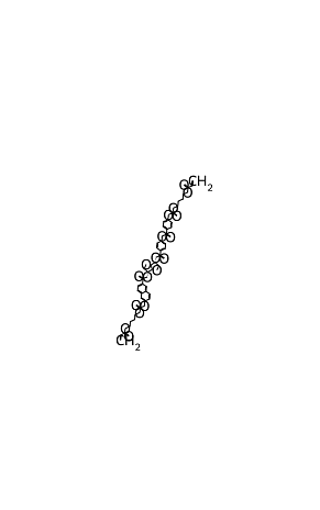 C=CC(=O)OCCCCOC(=O)Oc1ccc(C(=O)Oc2ccc(C(=O)O[C@@H]3COC4C3OC[C@H]4OC(=O)c3ccc4cc(OC(=O)OCCCCOC(=O)C=C)ccc4c3)cc2)cc1